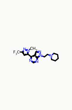 Cn1nc(C(F)(F)F)cc1-c1ncnc2c1cnn2CCN1CCCCC1